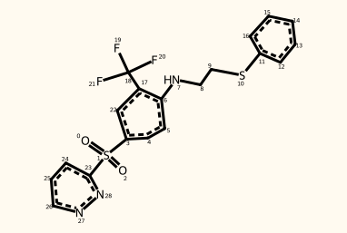 O=S(=O)(c1ccc(NCCSc2ccccc2)c(C(F)(F)F)c1)c1cccnn1